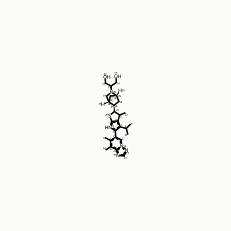 Cc1c(-c2[nH]c3c(c2C(C)C)C(C)C([C@@H]2C[C@@H]4C[C@H]2CN4C(CO)CO)S3)cn2ncnc2c1C